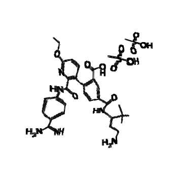 CCOc1ccc(-c2ccc(C(=O)NC(CCN)C(C)(C)C)cc2C(=O)O)c(C(=O)Nc2ccc(C(=N)N)cc2)n1.CS(=O)(=O)O.CS(=O)(=O)O